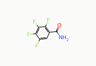 NC(=O)c1cc(F)c(F)c(F)c1F